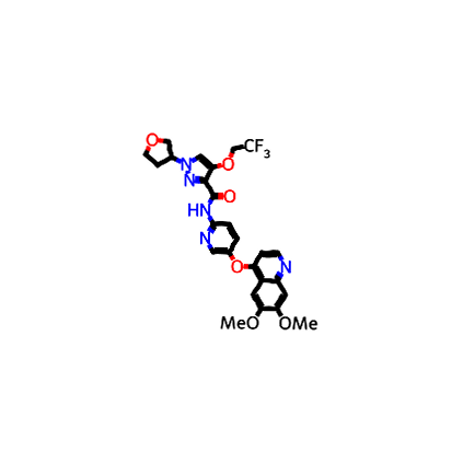 COc1cc2nccc(Oc3ccc(NC(=O)c4nn(C5CCOC5)cc4OCC(F)(F)F)nc3)c2cc1OC